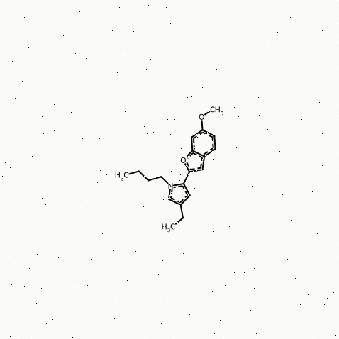 CCCCn1cc(CC)cc1-c1cc2ccc(OC)cc2o1